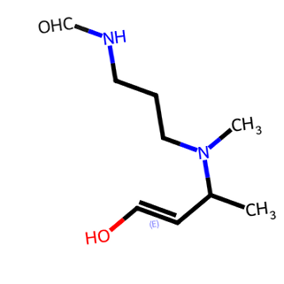 CC(/C=C/O)N(C)CCCNC=O